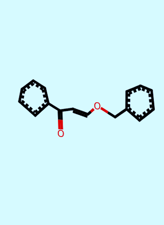 O=C(C=COCc1ccccc1)c1ccccc1